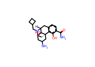 NC(=O)c1ccc2c(c1O)[C@]13CCN(CC4CCC4)[C@H](C2)[C@]1(O)CCC(N)C3